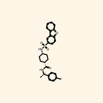 C[C@@H](NC(=O)[C@H]1CC[C@H](NS(=O)(=O)c2ccc3oc4ccccc4c3c2)CC1)c1ccc(F)cc1